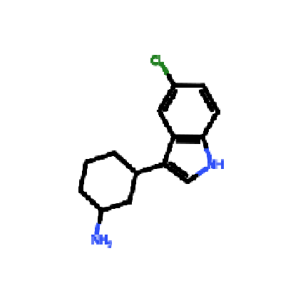 NC1CCCC(c2c[nH]c3ccc(Cl)cc23)C1